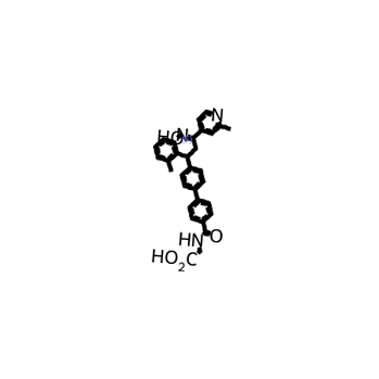 Cc1cc(/C(CC(c2ccc(-c3ccc(C(=O)NCC(=O)O)cc3)cc2)c2ccccc2C)=N/O)ccn1